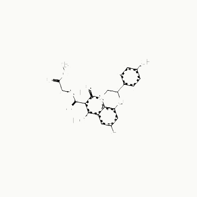 CC(C)(C)OC(=O)CNC(=O)c1c(O)c2cc(F)cc3c2n(c1=O)CC(c1ccc(C(F)(F)F)cc1)O3